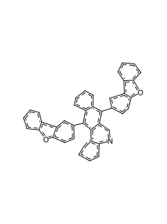 c1ccc2c(c1)ncc1c(-c3ccc4oc5ccccc5c4c3)c3ccccc3c(-c3ccc4oc5ccccc5c4c3)c12